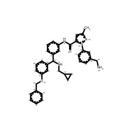 Cc1cc(C(=O)Nc2cccc(C(NCC3CC3)c3cccc(OCc4ccccc4)c3)c2)n(-c2cccc(CN)c2)n1